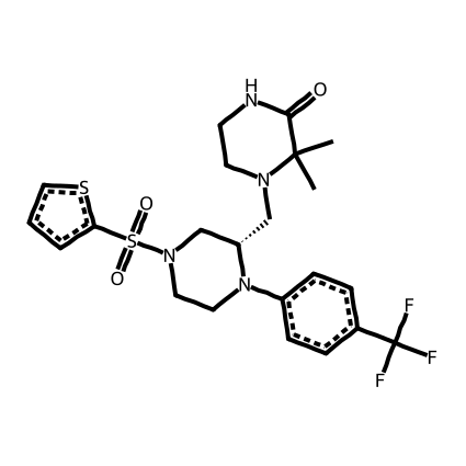 CC1(C)C(=O)NCCN1C[C@H]1CN(S(=O)(=O)c2cccs2)CCN1c1ccc(C(F)(F)F)cc1